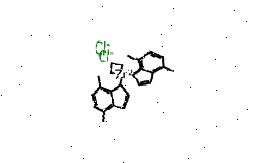 Cc1ccc(C)c2c1C=C[CH]2[Zr+2]1([CH]2C=Cc3c(C)ccc(C)c32)[CH2]C[CH2]1.[Cl-].[Cl-]